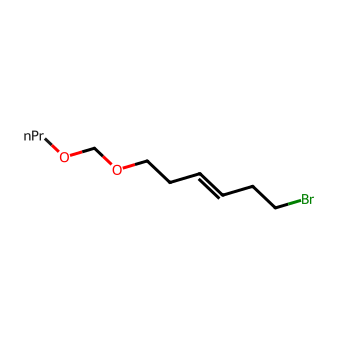 CCCOCOCC/C=C/CCBr